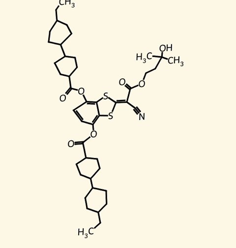 CCC1CCC(C2CCC(C(=O)Oc3ccc(OC(=O)C4CCC(C5CCC(CC)CC5)CC4)c4c3SC(=C(C#N)C(=O)OCCC(C)(C)O)S4)CC2)CC1